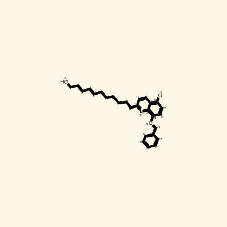 OCCCCCCCCCCCc1ccc2c(Cl)ccc(OCc3ccccc3)c2n1